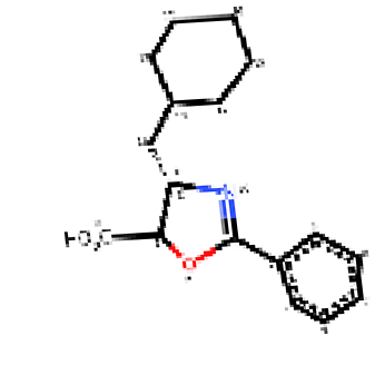 O=C(O)C1OC(c2ccccc2)=N[C@H]1CC1CCCCC1